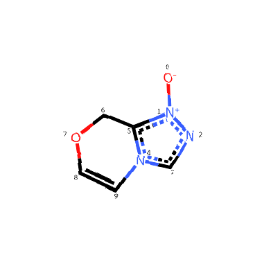 [O-][n+]1ncn2c1COC=C2